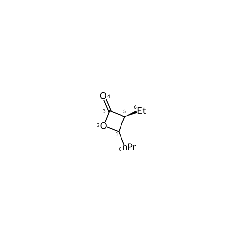 CCCC1OC(=O)[C@H]1CC